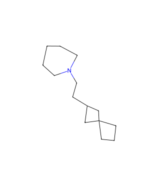 C1CCN(CCC2CC3(CCC3)C2)CC1